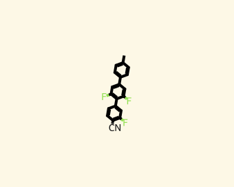 Cc1ccc(-c2cc(F)c(-c3ccc(C#N)c(F)c3)c(F)c2)cc1